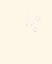 CCCCCCCC(=O)CCCCCC/C=C/[C@H](C(=O)N[C@@H](Cc1ccc(O)cc1)c1ncc(C)o1)[C@@](O)(CCO)C(=O)OC(C)(C)C